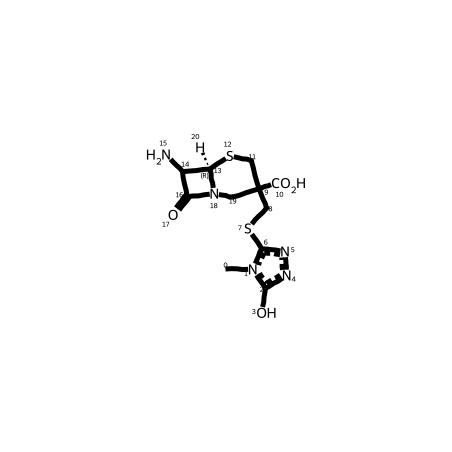 Cn1c(O)nnc1SCC1(C(=O)O)CS[C@@H]2C(N)C(=O)N2C1